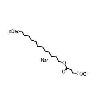 CCCCCCCCCCCCCCCCCCCCCCOC(=O)CCC(=O)[O-].[Na+]